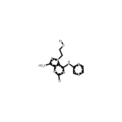 CCOCCn1nc(C(=O)O)c2nc(Cl)nc(Nc3cnccn3)c21